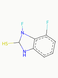 Fc1cccc2c1N(F)C(S)N2